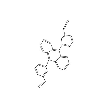 O=Cc1cccc(-c2c3ccccc3c(-c3cccc(C=O)c3)c3ccccc23)c1